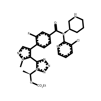 CCOC(=O)O[C@@H](C)n1nnnc1-c1c(-c2ccc(C(=O)N(c3ncccc3Cl)[C@@H]3CCCNC3)cc2F)cnn1C